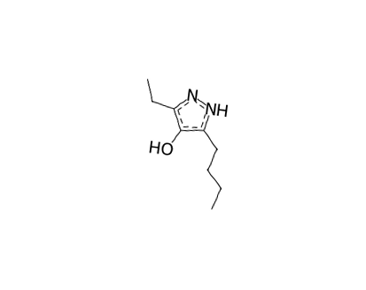 CCCCc1[nH]nc(CC)c1O